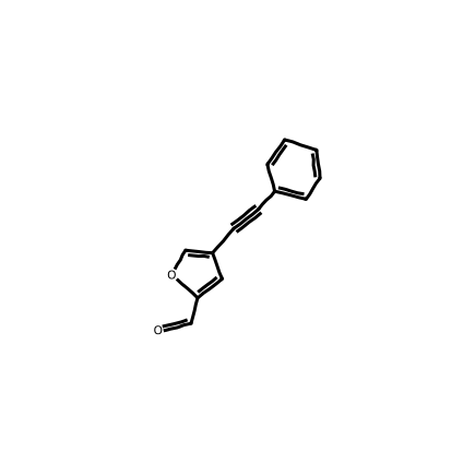 O=Cc1cc(C#Cc2ccccc2)co1